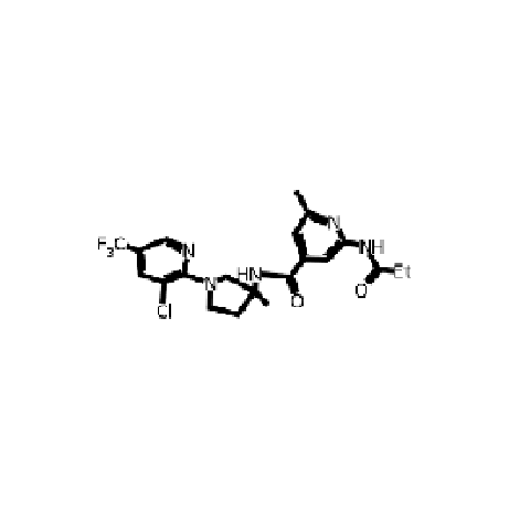 CCC(=O)Nc1cc(C(=O)NC2(C)CCN(c3ncc(C(F)(F)F)cc3Cl)C2)cc(C)n1